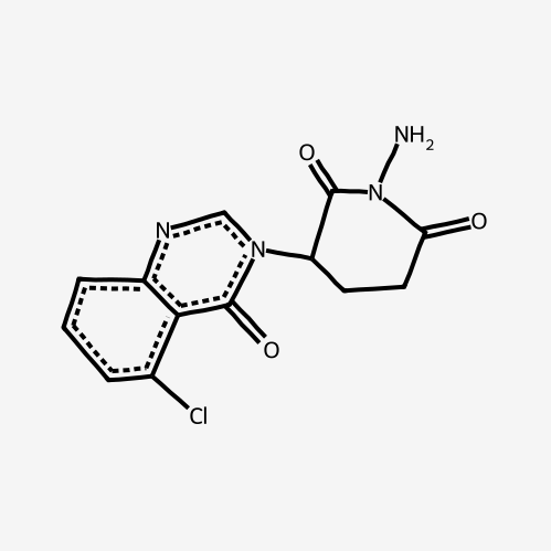 NN1C(=O)CCC(n2cnc3cccc(Cl)c3c2=O)C1=O